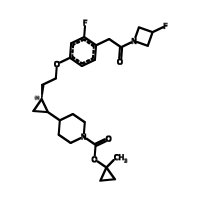 CC1(OC(=O)N2CCC(C3C[C@H]3CCOc3ccc(CC(=O)N4CC(F)C4)c(F)c3)CC2)CC1